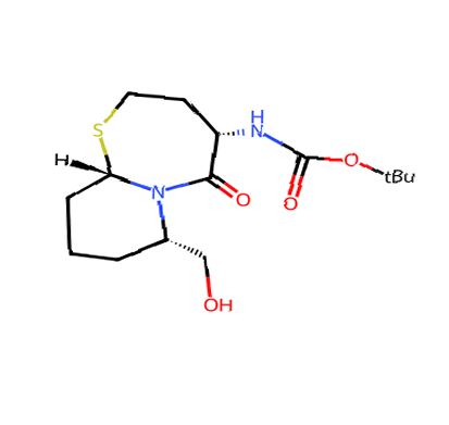 CC(C)(C)OC(=O)N[C@H]1CCS[C@H]2CCC[C@@H](CO)N2C1=O